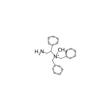 C[N+](Cc1ccccc1)(Cc1ccccc1)C(CN)c1ccccc1